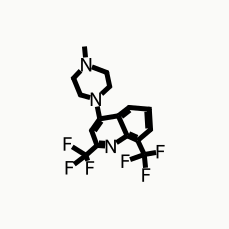 CN1CCN(c2cc(C(F)(F)F)nc3c(C(F)(F)F)cccc23)CC1